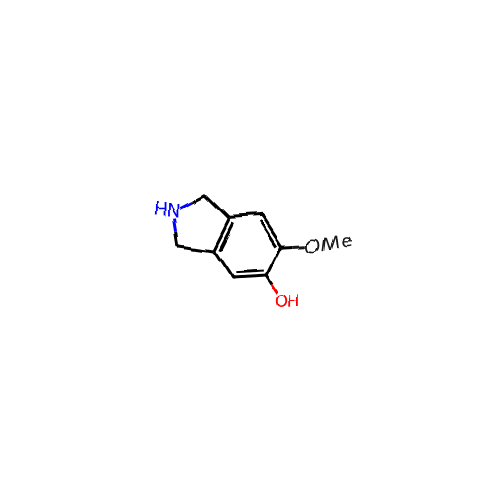 COc1cc2c(cc1O)CNC2